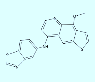 COc1c2ccsc2cc2c(Nc3ccc4scnc4c3)ccnc12